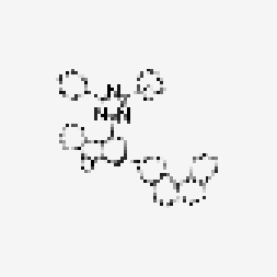 c1ccc(-c2nc(-c3ccccc3)nc(-c3cc(-c4ccc5c(ccc6ccc7ccccc7c65)c4)cc4oc5ccccc5c34)n2)cc1